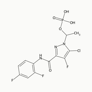 CC(OP(=O)(O)O)n1nc(C(=O)Nc2ccc(F)cc2F)c(F)c1Cl